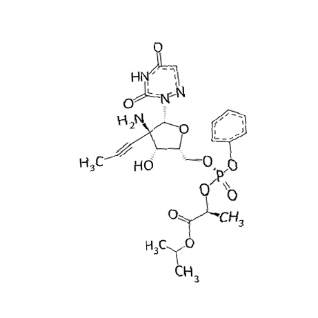 CC#C[C@@]1(N)[C@@H](O)[C@@H](CO[P@](=O)(Oc2ccccc2)O[C@@H](C)C(=O)OC(C)C)O[C@H]1n1ncc(=O)[nH]c1=O